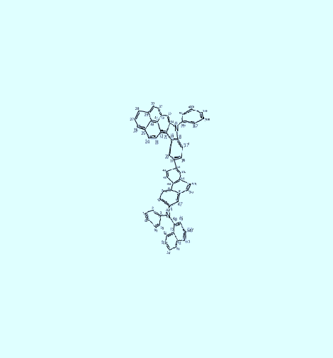 c1ccc(N(c2ccc3c(ccc4cc(-c5ccc6c(c5)c5c7ccc8cccc9ccc(cc5n6-c5ccccc5)c7c98)ccc43)c2)c2cccc3ccccc23)cc1